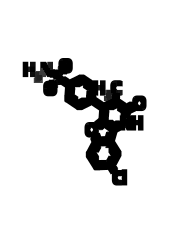 Cc1c(-c2ccc(S(N)(=O)=O)cc2)c2oc3ccc(Cl)cc3c2[nH]c1=O